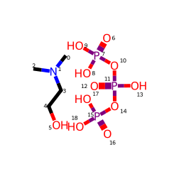 CN(C)CCO.O=P(O)(O)OP(=O)(O)OP(=O)(O)O